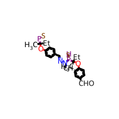 CCC(C)(Oc1ccc(/C=N/N(C)[PH](=S)C(C)(CC)Oc2ccc(C=O)cc2)cc1)P=S